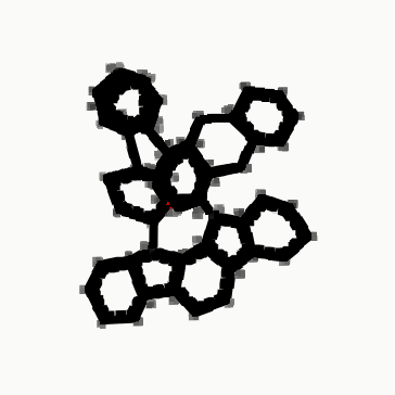 c1ccc(-c2ccc(-n3c4ccccc4c4ccc5c6ccccc6n(-c6ccc(-c7ccccc7)c7c6C6c8ccccc8C7c7ccccc76)c5c43)cc2)cc1